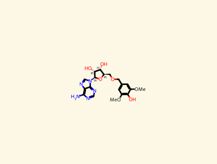 COc1cc(COC[C@H]2O[C@@H](n3cnc4c(N)ncnc43)[C@H](O)[C@@H]2O)cc(OC)c1O